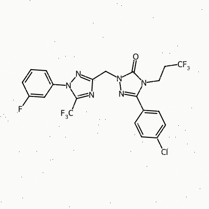 O=c1n(Cc2nc(C(F)(F)F)n(-c3cccc(F)c3)n2)nc(-c2ccc(Cl)cc2)n1CCC(F)(F)F